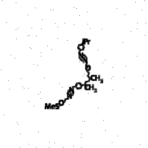 CSCOCCCN1CCN(Cc2ccc(C(C)CCC(C)CCCOCCN3CCN(Cc4ccc(C(C)C)cc4)CC3)cc2)CC1